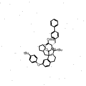 COC(=O)[C@H](Cc1ccc(-c2ccccc2)cc1)NC(=O)C1(CC2CCCC2)c2cc(Oc3ccc(C(C)(C)C)cc3)ccc2CCN1C(=O)C(C)(C)C